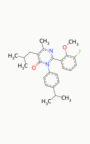 COc1c(F)cccc1-c1nc(C)c(CC(C)C)c(=O)n1-c1ccc(C(C)C)cc1